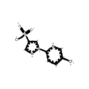 O=S(=O)(Cl)c1cnn(-c2ccc(C(F)(F)F)cn2)c1